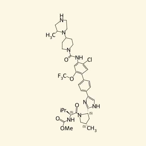 COC(=O)N[C@H](C(=O)N1C[C@@H](C)C[C@H]1c1nc(-c2ccc(-c3cc(Cl)c(NC(=O)N4CCC(N5CCNCC5C)CC4)cc3OC(F)(F)F)cc2)c[nH]1)C(C)C